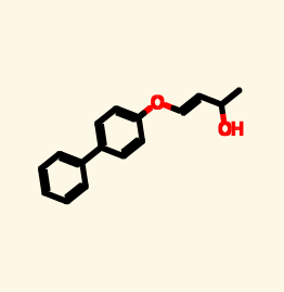 CC(O)C=COc1ccc(-c2ccccc2)cc1